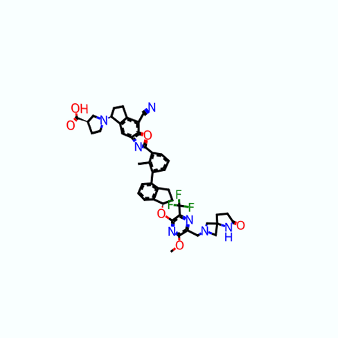 COc1nc(O[C@H]2CCc3c(-c4cccc(-c5nc6cc7c(c(C#N)c6o5)CC[C@H]7N5CC[C@@H](C(=O)O)C5)c4C)cccc32)c(C(F)(F)F)nc1CN1CC2(CCC(=O)N2)C1